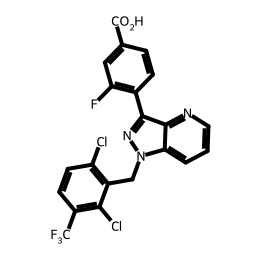 O=C(O)c1ccc(-c2nn(Cc3c(Cl)ccc(C(F)(F)F)c3Cl)c3cccnc23)c(F)c1